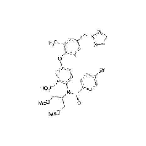 COCC(COC)N(C(=O)c1ccc(Br)cc1)c1ccc(Oc2ncc(Cn3nccn3)cc2C(F)(F)F)cc1C(=O)O